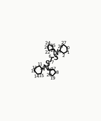 C1CCC(N(SCCSN(C2CCCCC2)C2CCCC2)C2CCCC2)CC1